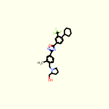 Cc1cc(-c2noc(-c3ccc(C4CCCCC4)c(C(F)(F)F)c3)n2)ccc1CN1CCCC1CO